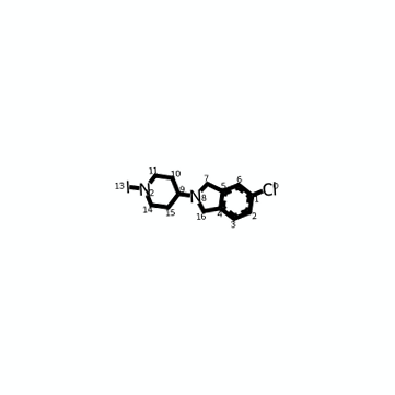 Clc1ccc2c(c1)CN(C1CCN(I)CC1)C2